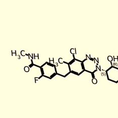 CNC(=O)c1ccc(Cc2cc3c(=O)n([C@H]4CCOC[C@@H]4O)nnc3c(Cl)c2C)cc1F